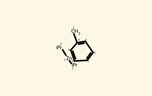 C[CH](C)[Zn][CH](C)C.Cc1ccccc1